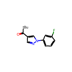 CC(C)(C)C(=O)c1cnn(-c2cccc(F)c2)c1